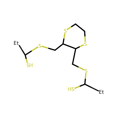 CCC(S)SCC1SCCSC1CSC(S)CC